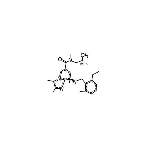 CCc1cccc(C)c1CNc1cc(C(=O)N(C)C[C@@H](C)O)cn2c(C)c(C)nc12